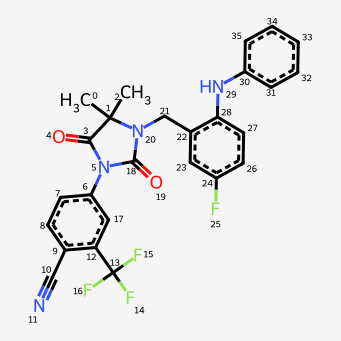 CC1(C)C(=O)N(c2ccc(C#N)c(C(F)(F)F)c2)C(=O)N1Cc1cc(F)ccc1Nc1ccccc1